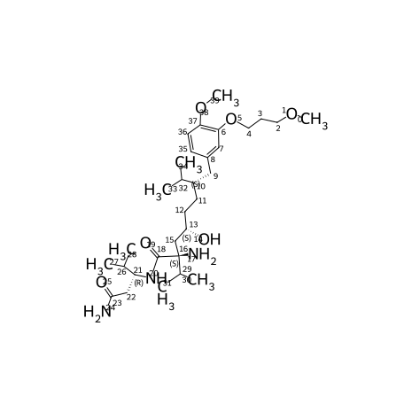 COCCCOc1cc(C[C@H](CC[C@H](O)C[C@@](N)(C(=O)N[C@H](CC(N)=O)C(C)C)C(C)C)C(C)C)ccc1OC